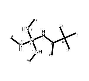 CN[Si](NC)(NC)NC(C)C(C)(C)C